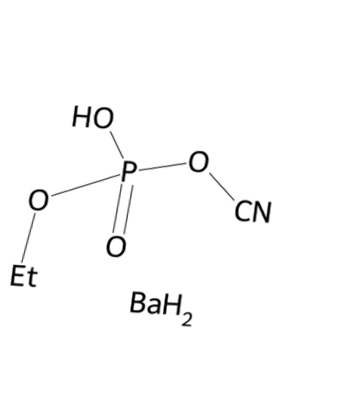 CCOP(=O)(O)OC#N.[BaH2]